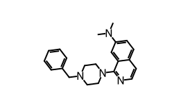 CN(C)c1ccc2ccnc(N3CCN(Cc4ccccc4)CC3)c2c1